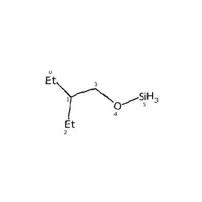 CCC(CC)CO[SiH3]